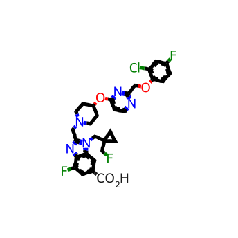 O=C(O)c1cc(F)c2nc(CN3CCC(Oc4ccnc(COc5ccc(F)cc5Cl)n4)CC3)n(CC3(CF)CC3)c2c1